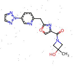 CC1(O)CN(C(=O)c2coc(Cc3ccc(-n4nccn4)cn3)n2)C1